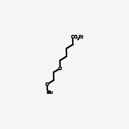 CCOC(=O)CCCCOCCOC(C)CC